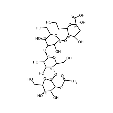 CC(=O)OC1C(O)[C@@H](O)C(CO)O[C@H]1O[C@H]1C(CO)O[C@H](OC2C(O)[C@H](O[C@@H]3C(O)C[C@](O)(C(=O)O)OC3CCO)OC(CO)[C@@H]2O)C(O)C1O